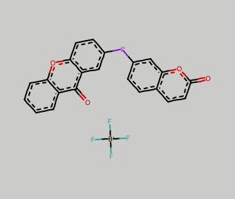 F[B-](F)(F)F.O=c1ccc2ccc([I+]c3ccc4oc5ccccc5c(=O)c4c3)cc2o1